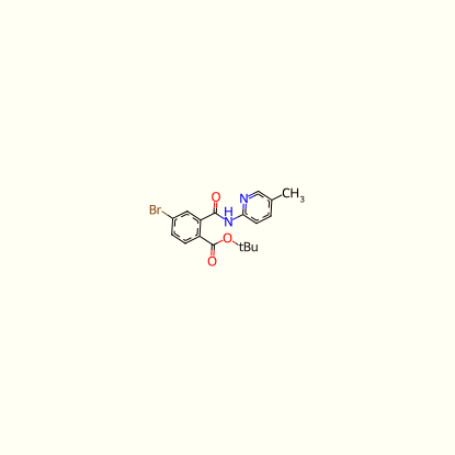 Cc1ccc(NC(=O)c2cc(Br)ccc2C(=O)OC(C)(C)C)nc1